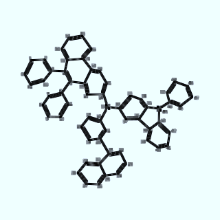 c1ccc(-c2c(-c3ccccc3)c3cc(N(c4cccc(-c5cccc6ccccc56)c4)c4ccc5c(c4)c4ccccc4n5-c4ccccc4)ccc3c3ccccc23)cc1